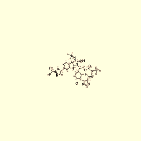 CC(C)(C)C[C@]1(c2ccc(-c3cnn(C(F)F)c3)cc2)NC(=N)N(C(COC(=O)NC(C)(C)C)c2ccc(Cl)c(-n3ncnc3C(F)F)c2)C1=O